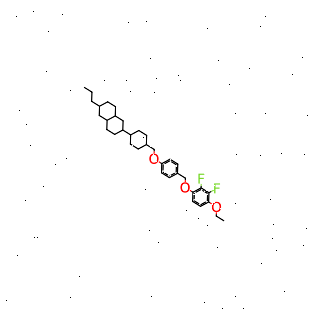 CCCC1CCC2CC(C3CCC(COc4ccc(COc5ccc(OCC)c(F)c5F)cc4)CC3)CCC2C1